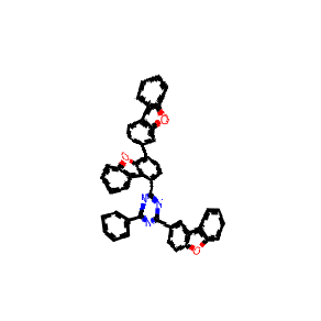 c1ccc(-c2nc(-c3ccc4oc5ccccc5c4c3)nc(-c3ccc(-c4ccc5c(c4)oc4ccccc45)c4oc5ccccc5c34)n2)cc1